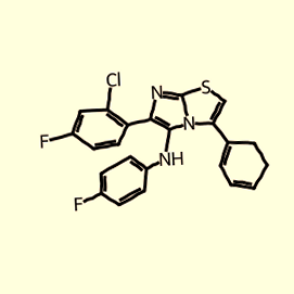 Fc1ccc(Nc2c(-c3ccc(F)cc3Cl)nc3scc(C4=CC=CCC4)n23)cc1